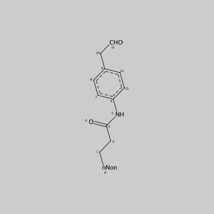 CCCCCCCCCCCC(=O)Nc1ccc(C[C]=O)cc1